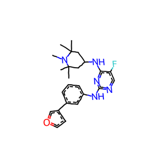 CN1C(C)(C)CC(Nc2nc(Nc3cccc(-c4ccoc4)c3)ncc2F)CC1(C)C